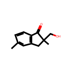 Cc1ccc2c(c1)CC(C)(CO)C2=O